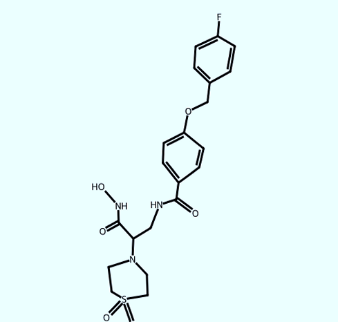 O=C(NCC(C(=O)NO)N1CCS(=O)(=O)CC1)c1ccc(OCc2ccc(F)cc2)cc1